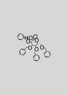 O[C@@]1(Cl)O[C@H](COCc2ccccc2)[C@@H](OCc2ccccc2)[C@H](OCc2ccccc2)[C@H]1OCc1ccccc1